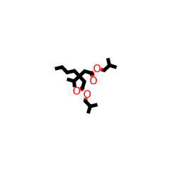 CCCCC(CC(=O)OCC(C)C)(CC(=O)OCC(C)C)C(C)C